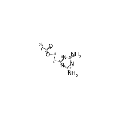 C=CC(=O)OCCc1nc(N)nc(N)n1